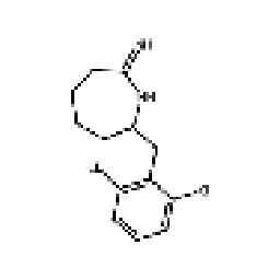 N=C1CCCCC(Cc2c(Cl)cccc2Cl)N1